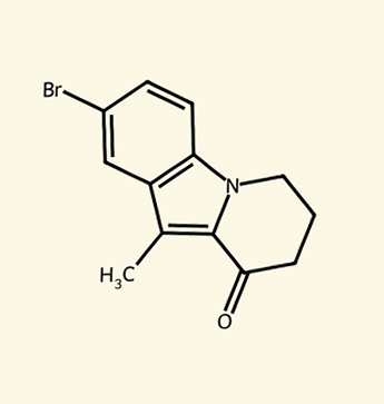 Cc1c2n(c3ccc(Br)cc13)CCCC2=O